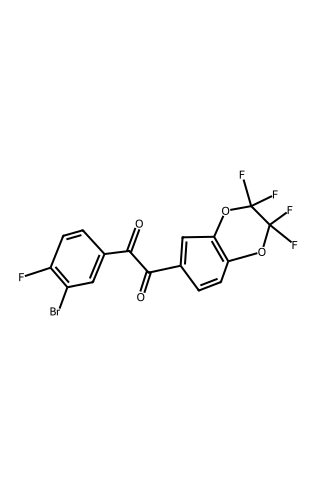 O=C(C(=O)c1ccc2c(c1)OC(F)(F)C(F)(F)O2)c1ccc(F)c(Br)c1